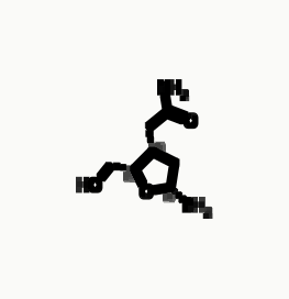 B[C@H]1C[C@@H](CC(N)=O)[C@@H](CO)O1